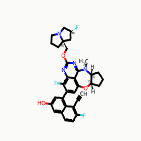 C#Cc1c(F)ccc2cc(O)cc(-c3cc4c5c(nc(OC[C@@]67CCCN6C[C@H](F)C7)nc5c3F)N(C)[C@@H]3CCC[C@@H]3O4)c12